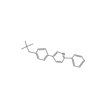 CC(C)(C)Cc1ccc(-c2ccc(-c3ccccc3)nc2)cc1